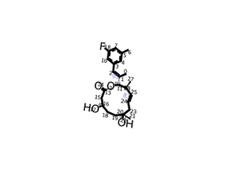 C/C(=C\c1cc(C)cc(F)c1)[C@H]1OC(=O)C[C@H](O)CC[C@@](C)(O)C/C=C/[C@@H]1C